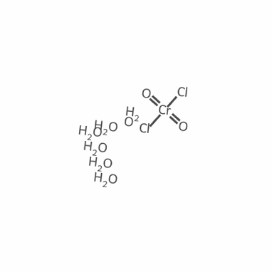 O.O.O.O.O.O.[O]=[Cr](=[O])([Cl])[Cl]